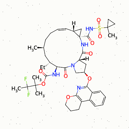 CC[C@@H]1C[C@@H](C)CC/C=C\[C@@H]2C[C@@]2(C(=O)NS(=O)(=O)C2(C)CC2)NC(=O)[C@@H]2C[C@@H](Oc3nc4c(c5ccccc35)CCCO4)CN2C(=O)[C@H]1NC(=O)OC(C)(C)C(C)(F)F